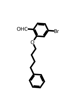 O=Cc1ccc(Br)cc1OCCCCc1ccccc1